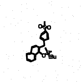 CC(C)(C)[Si](C)(C)Oc1c(Cc2ccc(S(C)(=O)=O)cc2)ccc2ccccc12